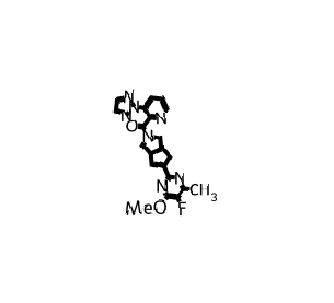 COc1nc(C2=CC3CN(C(=O)c4ncccc4-n4nccn4)CC3C2)nc(C)c1F